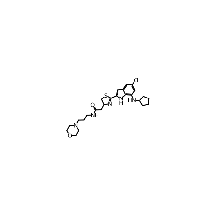 O=C(CC1CSC(c2cc3cc(Cl)cc(NC4CCCC4)c3[nH]2)=N1)NCCCN1CCOCC1